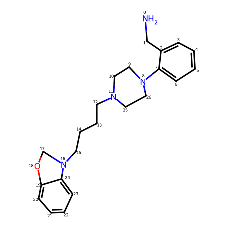 NCc1ccccc1N1CCN(CCCCN2COc3ccccc32)CC1